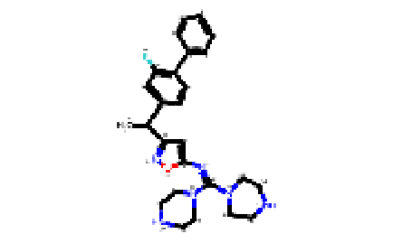 CC(c1ccc(-c2ccccc2)c(F)c1)c1cc(N=C(N2CCNCC2)N2CCNCC2)on1